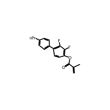 C=C(C)C(=O)Oc1ccc(-c2ccc(CCC)cc2)c(F)c1F